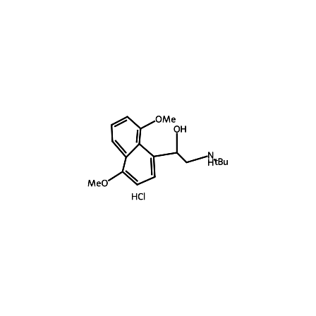 COc1ccc(C(O)CNC(C)(C)C)c2c(OC)cccc12.Cl